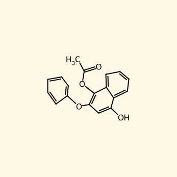 CC(=O)Oc1c(Oc2ccccc2)cc(O)c2ccccc12